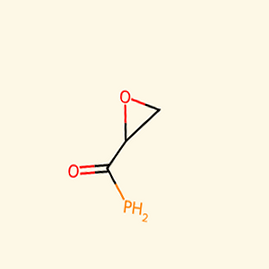 O=C(P)C1CO1